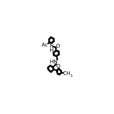 CC(=O)c1ccccc1NC(=O)c1ccc(CNC(=O)c2ccccc2-c2ccc(C)cc2)cc1